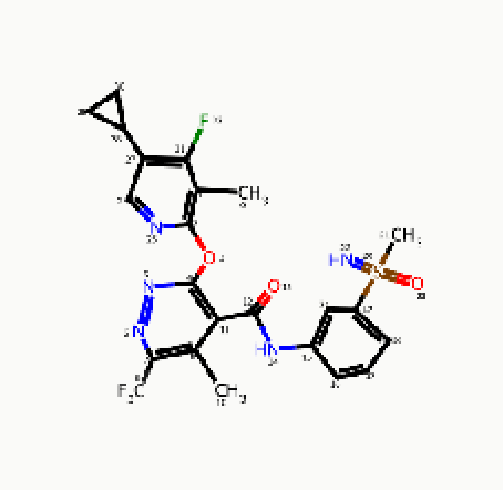 Cc1c(Oc2nnc(C(F)(F)F)c(C)c2C(=O)Nc2cccc(S(C)(=N)=O)c2)ncc(C2CC2)c1F